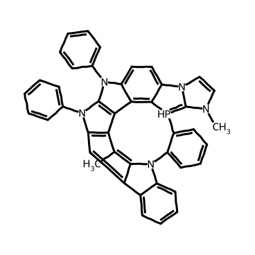 Cc1c2c3c4c5c6ccc4n(-c4ccccc4)c3n(-c3ccccc3)c2cc2c3ccccc3n(c12)-c1ccccc1[PH]5=C1N(C)C=CN16